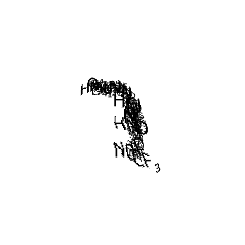 Cl.N#Cc1ccc(O[C@H]2CC[C@H](NC(=O)c3ccc(N4CCC(CN5CCC(n6ccc7c(N8CCC(=O)NC8=O)cccc76)CC5)CC4)nn3)CC2)cc1C(F)(F)F